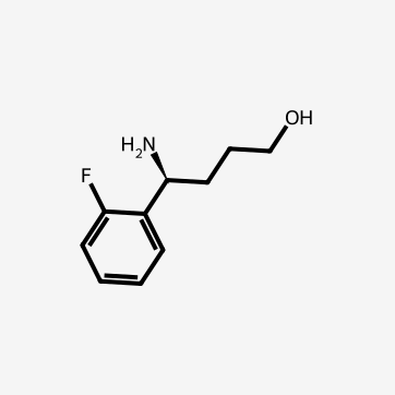 N[C@@H](CCCO)c1ccccc1F